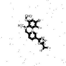 CN(Cc1ccc(-c2nnc(C(F)F)o2)cn1)c1cc(F)c(Br)cc1OC=O